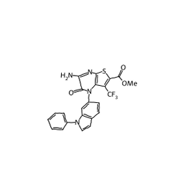 COC(=O)c1sc2nc(N)c(=O)n(-c3ccc4ccn(-c5ccccc5)c4c3)c2c1C(F)(F)F